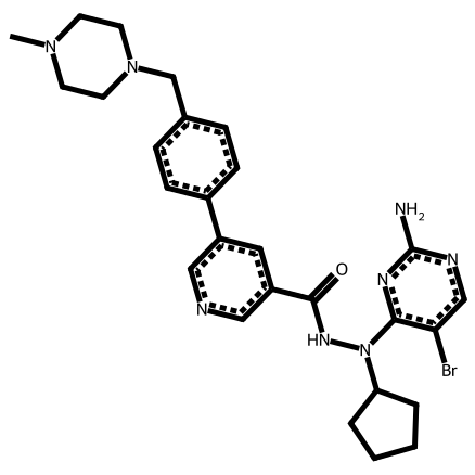 CN1CCN(Cc2ccc(-c3cncc(C(=O)NN(c4nc(N)ncc4Br)C4CCCC4)c3)cc2)CC1